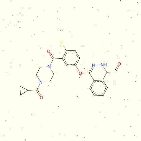 O=CC1NN=C(Oc2ccc(F)c(C(=O)N3CCN(C(=O)C4CC4)CC3)c2)c2ccccc21